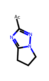 CC(=O)c1nc2n(n1)CCC2